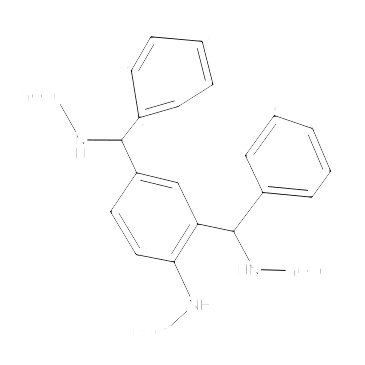 CCCCCCCCNc1ccc(C(NCCCCCCCC)c2ccccc2)cc1C(NCCCCCCCC)c1ccccc1